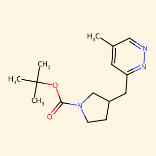 Cc1cnnc(CC2CCN(C(=O)OC(C)(C)C)C2)c1